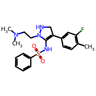 Cc1ccc(C2=C(NS(=O)(=O)c3ccccc3)N(CCN(C)C)NC2)cc1F